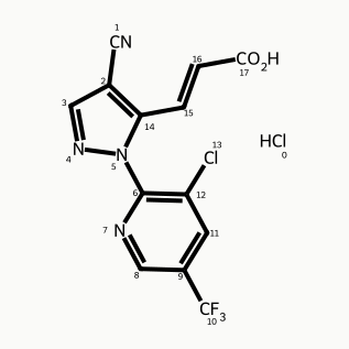 Cl.N#Cc1cnn(-c2ncc(C(F)(F)F)cc2Cl)c1C=CC(=O)O